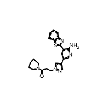 Nc1ncc(-c2cnn(CCC(=O)N3CCCCC3)c2)cc1-c1nc2ccccc2s1